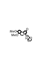 COc1ccc2c(c1OC)CCn1c(NCC3COCCO3)cc(=O)cc1-2